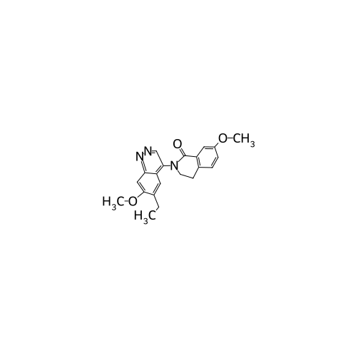 CCc1cc2c(N3CCc4ccc(OC)cc4C3=O)cnnc2cc1OC